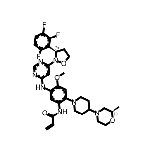 C=CC(=O)Nc1cc(Nc2cc(N3OCC[C@@H]3c3c(F)ccc(F)c3F)ncn2)c(OC)cc1N1CCC(N2CCO[C@H](C)C2)CC1